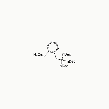 C=Cc1ccccc1C[PH](CCCCCCCCCC)(CCCCCCCCCC)CCCCCCCCCC